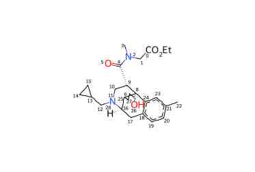 CCOC(=O)CN(C)C(=O)[C@@H]1C[C@]23CCN(CC4CC4)[C@H](Cc4ccc(C)cc42)[C@]3(O)C1